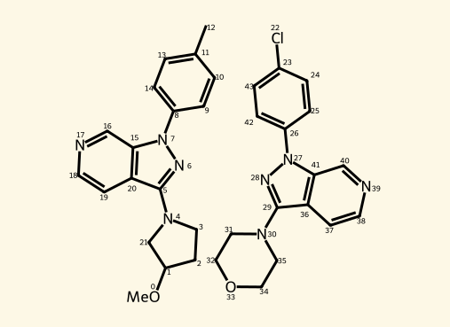 COC1CCN(c2nn(-c3ccc(C)cc3)c3cnccc23)C1.Clc1ccc(-n2nc(N3CCOCC3)c3ccncc32)cc1